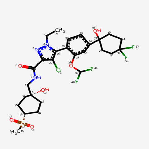 CCn1nc(C(=O)NC[C@]2(O)CC[C@@H](S(C)(=O)=O)CC2)c(Cl)c1-c1ccc(C2(O)CCC(F)(F)CC2)cc1OC(F)F